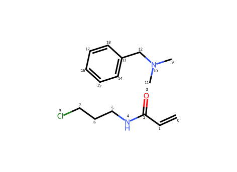 C=CC(=O)NCCCCl.CN(C)Cc1ccccc1